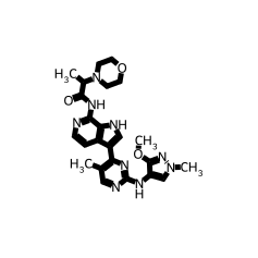 COc1nn(C)cc1Nc1ncc(C)c(-c2c[nH]c3c(NC(=O)C(C)N4CCOCC4)nccc23)n1